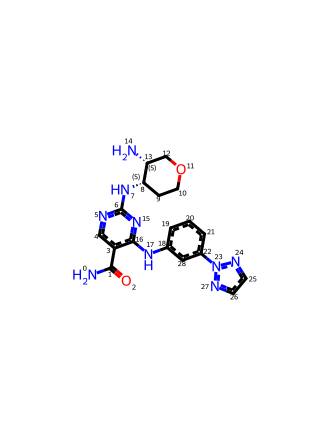 NC(=O)c1cnc(N[C@H]2CCOC[C@H]2N)nc1Nc1cccc(-n2nccn2)c1